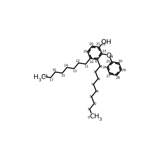 CCCCCCCCCc1c(CCCCCCCC)ccc(O)c1Oc1ccccc1